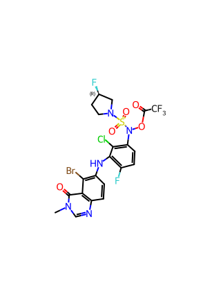 Cn1cnc2ccc(Nc3c(F)ccc(N(OC(=O)C(F)(F)F)S(=O)(=O)N4CC[C@@H](F)C4)c3Cl)c(Br)c2c1=O